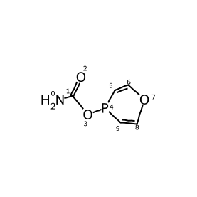 NC(=O)OP1C=COC=C1